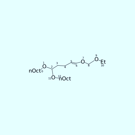 CCCCCCCCOC(CCC=COCOCC)OCCCCCCCC